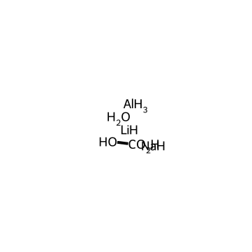 O.O=C(O)O.[AlH3].[LiH].[NaH]